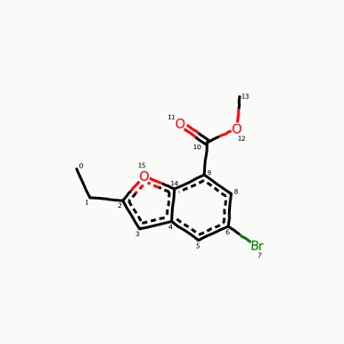 CCc1cc2cc(Br)cc(C(=O)OC)c2o1